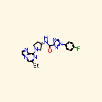 CCc1cn2ccnc2c(N2CC[C@H](NC(=O)c3ncn(-c4ccc(F)cc4)n3)C2)n1